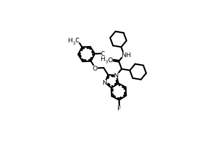 Cc1ccc(OCc2nc3cc(F)ccc3n2C(C(=O)NC2CCCCC2)C2CCCCC2)c(C)c1